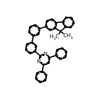 CC1(C)c2ccccc2-c2ccc(-c3cccc(-c4cccc(-c5nc(-c6ccccc6)cc(-c6ccccc6)n5)c4)c3)cc21